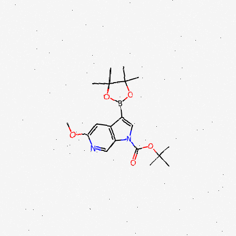 COc1cc2c(B3OC(C)(C)C(C)(C)O3)cn(C(=O)OC(C)(C)C)c2cn1